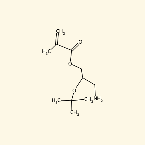 C=C(C)C(=O)OCC(CN)OC(C)(C)C